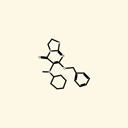 CN(c1c(OCc2ccccc2)nc2n(c1=O)CCS2)C1CCCCC1